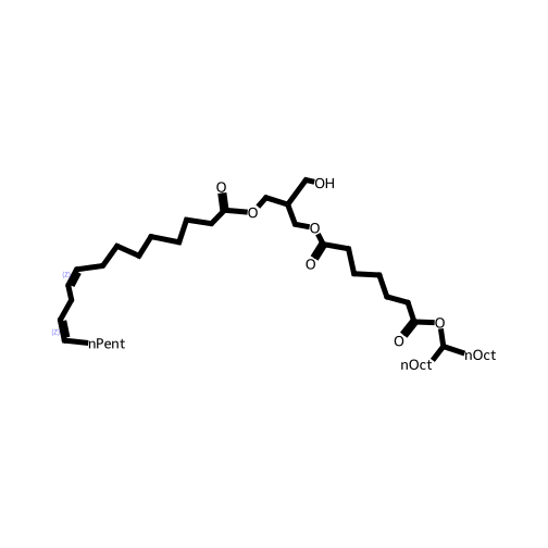 CCCCC/C=C\C/C=C\CCCCCCCC(=O)OCC(CO)COC(=O)CCCCCC(=O)OC(CCCCCCCC)CCCCCCCC